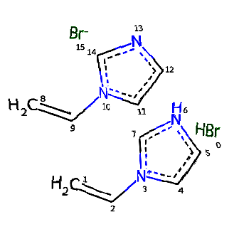 Br.C=C[n+]1cc[nH]c1.C=Cn1ccnc1.[Br-]